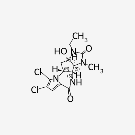 CCN1C(=O)N(C)[C@H]2[C@@H]3NC(=O)c4cc(Cl)c(Cl)n4[C@@H]3C[C@]21O